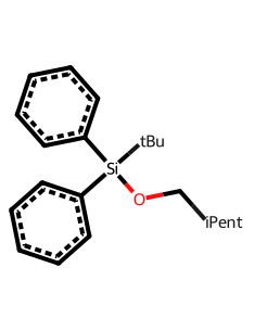 [CH2]CCC(C)CO[Si](c1ccccc1)(c1ccccc1)C(C)(C)C